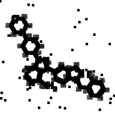 Nc1ncnc2c1c(-c1ccc3c(cnn3Cc3ccccc3F)c1)nn2C1CCC(N2CCOCC2)CC1